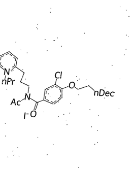 CCCCCCCCCCCCOc1ccc(C(=O)N(CCCc2cccc[n+]2CCC)C(C)=O)cc1Cl.[I-]